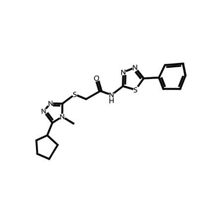 Cn1c(SCC(=O)Nc2nnc(-c3ccccc3)s2)nnc1C1CCCC1